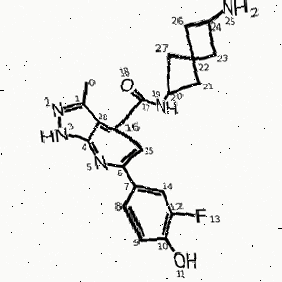 Cc1n[nH]c2nc(-c3ccc(O)c(F)c3)cc(C(=O)NC3CC4(CC(N)C4)C3)c12